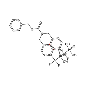 O=C(OCc1ccccc1)N(Cc1ccc(C(F)(F)P(=O)(O)O)cc1)Cc1ccc(C(F)(F)P(=O)(O)O)cc1